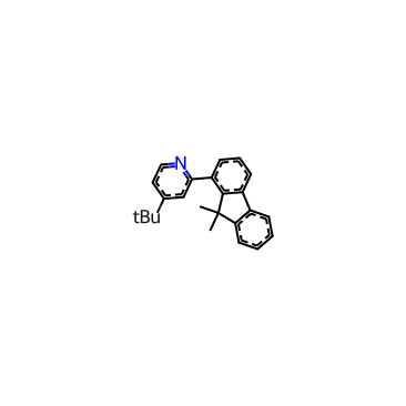 CC(C)(C)c1ccnc(-c2cccc3c2C(C)(C)c2ccccc2-3)c1